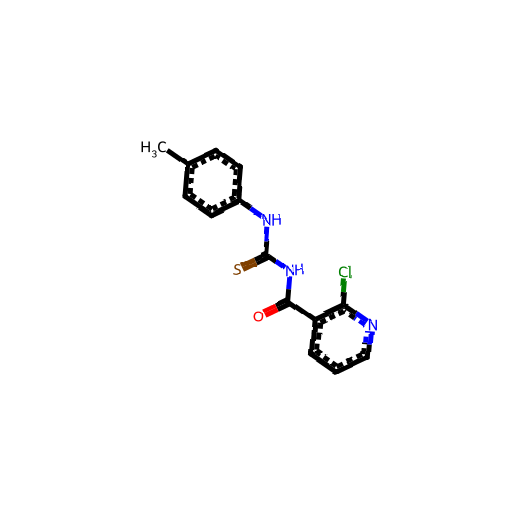 Cc1ccc(NC(=S)NC(=O)c2cccnc2Cl)cc1